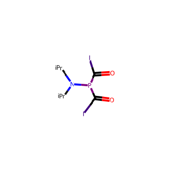 CC(C)N(C(C)C)P(C(=O)I)C(=O)I